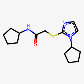 O=C(CSc1nccn1C1CCCC1)NC1CCCC1